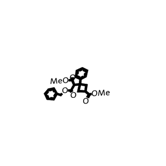 COC(=O)C1CC(c2ccccc2)(C(C(=O)OC)C(=O)OCc2ccccc2)C1